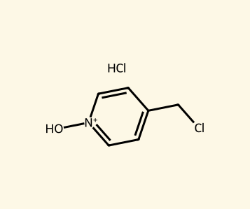 Cl.O[n+]1ccc(CCl)cc1